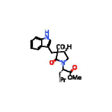 COC(=O)[C@H](CC(C)C)N1CCC(Cc2c[nH]c3ccccc23)(C(=O)O)C1=O